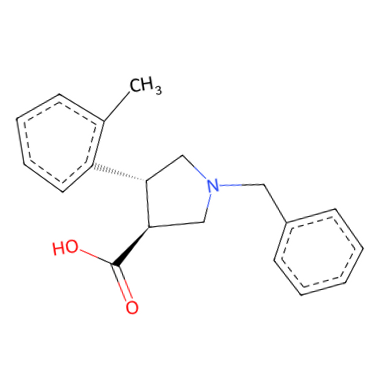 Cc1ccccc1[C@@H]1CN(Cc2ccccc2)C[C@H]1C(=O)O